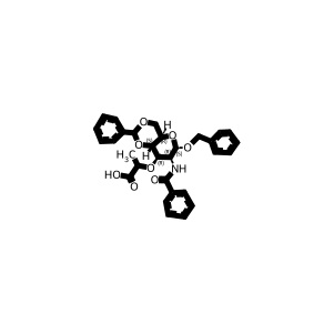 CC(O[C@@H]1[C@@H](NC(=O)c2ccccc2)[C@@H](OCc2ccccc2)O[C@@H]2COC(c3ccccc3)O[C@@H]12)C(=O)O